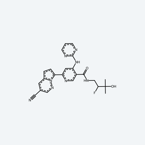 CC(C)(O)C(F)CNC(=O)c1cnc(-c2ccc3cc(C#N)cnn23)cc1Nc1ncccn1